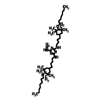 CCCCCCCCON1C(C)(C)CC(CCCCNc2nc(NN)nc(NCCCCC3CC(C)(C)N(OCCCCCCCC)C(C)(C)C3)n2)CC1(C)C